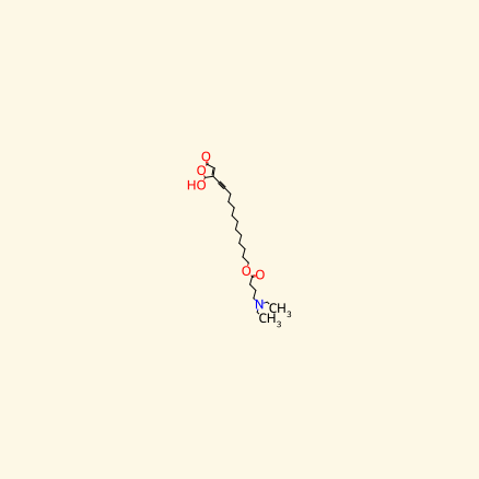 CCN(CC)CCCC(=O)OCCCCCCCCCCCC#CC1=CC(=O)OC1O